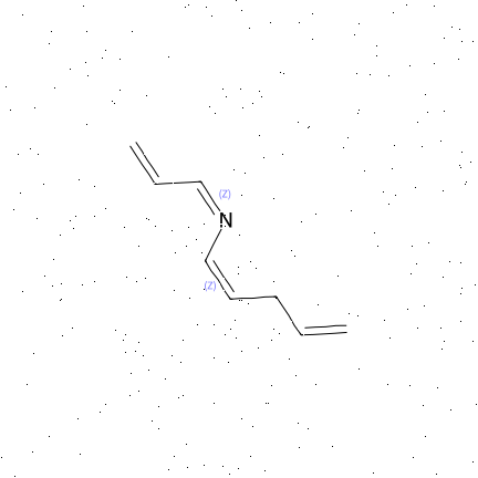 C=C/C=N\C=C/CC=C